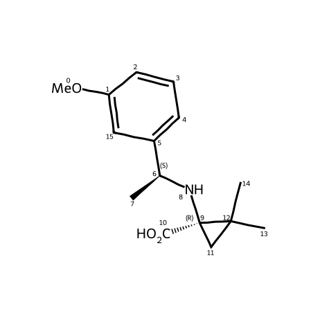 COc1cccc([C@H](C)N[C@]2(C(=O)O)CC2(C)C)c1